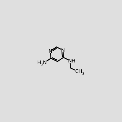 CCNc1cc(N)ncn1